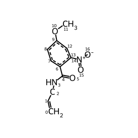 C=CCNC(=O)c1ccc(OC)cc1[N+](=O)[O-]